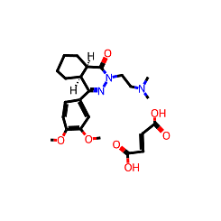 COc1ccc(C2=NN(CCN(C)C)C(=O)[C@@H]3CCCC[C@H]23)cc1OC.O=C(O)C=CC(=O)O